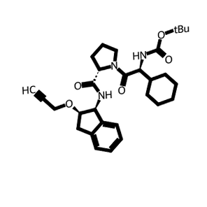 C#CCO[C@@H]1Cc2ccccc2[C@@H]1NC(=O)[C@@H]1CCCN1C(=O)[C@@H](NC(=O)OC(C)(C)C)C1CCCCC1